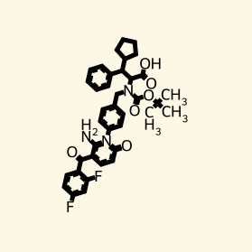 CC(C)(C)OC(=O)N(Cc1ccc(-n2c(N)c(C(=O)c3ccc(F)cc3F)ccc2=O)cc1)C(C(=O)O)C(c1ccccc1)C1CCCC1